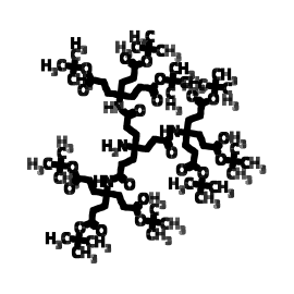 CC(C)(C)OC(=O)CCC(CCC(=O)OC(C)(C)C)(CCC(=O)OC(C)(C)C)NC(=O)CCC(N)(CCC(=O)NC(CCC(=O)OC(C)(C)C)(CCC(=O)OC(C)(C)C)CCC(=O)OC(C)(C)C)CCC(=O)NC(CCC(=O)OC(C)(C)C)(CCC(=O)OC(C)(C)C)CCC(=O)OC(C)(C)C